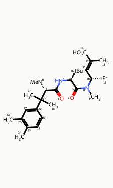 CN[C@H](C(=O)N[C@H](C(=O)N(C)[C@H](/C=C(\C)C(=O)O)C(C)C)C(C)(C)C)C(C)(C)c1ccc(C)c(C)c1